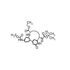 CCOC(=O)C1CCCCC(NC(=O)OC(C)(C)C)c2cc(cc(=O)[nH]2)-c2ccc(NC(=O)OC)cc2N1